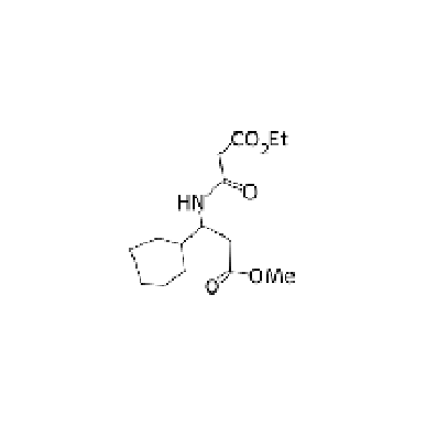 CCOC(=O)CC(=O)NC(CC(=O)OC)C1CCCCC1